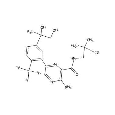 [2H]C([2H])([2H])c1ccc(C(O)(CO)C(F)(F)F)cc1-c1cnc(N)c(C(=O)NCC(C)(C)C#N)n1